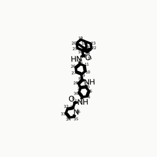 O=C(Nc1ccc2[nH]c(-c3ccc(NC(=O)C45CC6CC(CC(C6)C4)C5)cc3)cc2c1)c1ccccn1